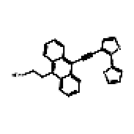 CCCCCCCCCCCCc1c2ccccc2c(C#Cc2ccsc2-c2cccs2)c2ccccc12